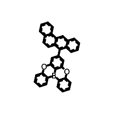 c1ccc2c(c1)Oc1cc(-c3c4ccccc4cc4c3ccc3ccccc34)cc3c1B2c1ccccc1O3